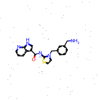 NCc1cccc(Cn2ccs/c2=N\C(=O)c2c[nH]c3ncccc23)c1